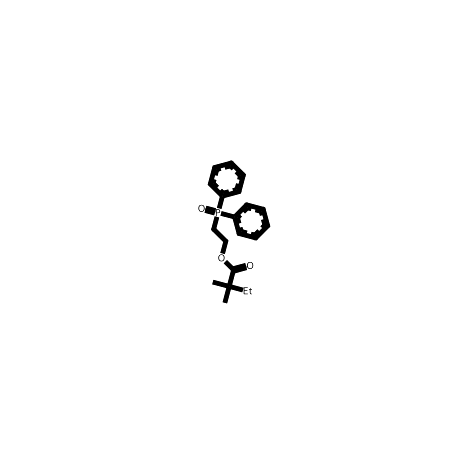 CCC(C)(C)C(=O)OCCP(=O)(c1ccccc1)c1ccccc1